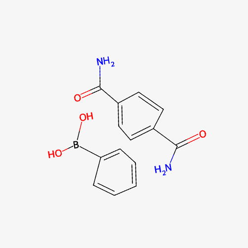 NC(=O)c1ccc(C(N)=O)cc1.OB(O)c1ccccc1